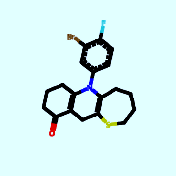 O=C1CCCC2=C1CC1=C(CCCCS1)N2c1ccc(F)c(Br)c1